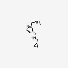 NCc1cc(CNCC2CC2)ccn1